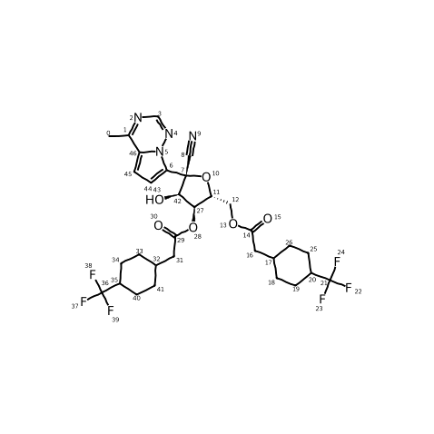 Cc1ncnn2c([C@]3(C#N)O[C@H](COC(=O)CC4CCC(C(F)(F)F)CC4)[C@@H](OC(=O)CC4CCC(C(F)(F)F)CC4)[C@H]3O)ccc12